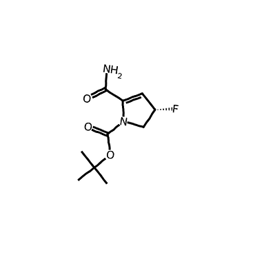 CC(C)(C)OC(=O)N1C[C@@H](F)C=C1C(N)=O